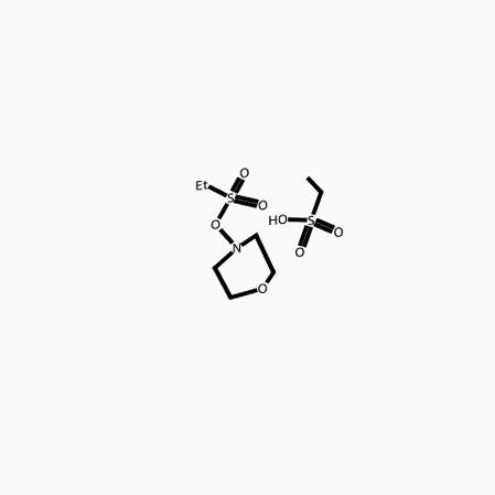 CCS(=O)(=O)O.CCS(=O)(=O)ON1CCOCC1